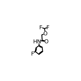 O=C(COC(F)F)Nc1cccc(F)c1